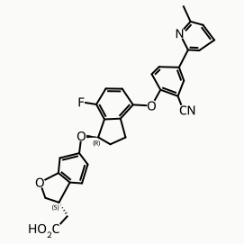 Cc1cccc(-c2ccc(Oc3ccc(F)c4c3CC[C@H]4Oc3ccc4c(c3)OC[C@H]4CC(=O)O)c(C#N)c2)n1